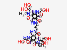 CN(CC(O)CO)C(=O)c1c(I)c(NC(=O)CO)c(I)c(C(=O)NCCCNC(=O)c2c(I)c(NC(=O)CO)c(I)c(C(=O)N(C)CC(O)CO)c2I)c1I